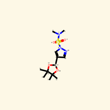 CN(C)S(=O)(=O)n1cc(B2OC(C)(C)C(C)(C)O2)cn1